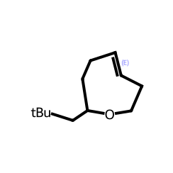 CC(C)(C)CC1CC/C=C/CCO1